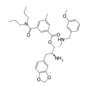 CCCN(CCC)C(=O)c1cc(C)cc(C(=O)O[C@H](CNCc2cccc(OC)c2)[C@@H](N)Cc2ccc3c(c2)OCO3)c1